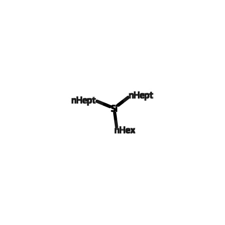 CCCCCCC[Si](CCCCCC)CCCCCCC